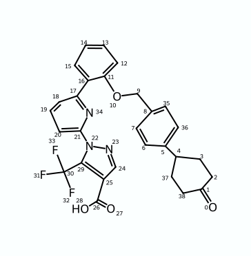 O=C1CCC(c2ccc(COc3ccccc3-c3cccc(-n4ncc(C(=O)O)c4C(F)(F)F)n3)cc2)CC1